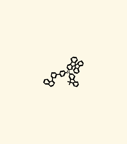 CC1(C)c2ccccc2-c2ccc(N(c3ccc(-c4cccc(-c5cccc6ccccc56)c4)cc3)c3ccc4c(c3)C3(c5ccccc5-c5ccccc53)c3ccccc3-4)cc21